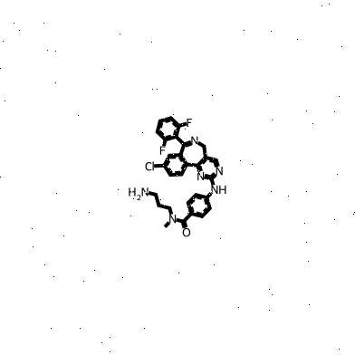 CN(CCCN)C(=O)c1ccc(Nc2ncc3c(n2)-c2ccc(Cl)cc2C(c2c(F)cccc2F)=NC3)cc1